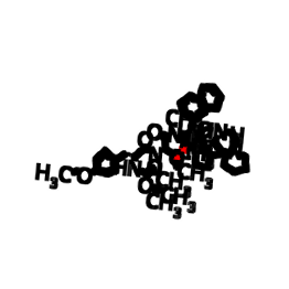 CCOc1ccc(C[C@@H](NC(=O)OC(C)(C)C)C(=O)N[C@H](C(=O)N(C)[C@H](Cc2ccccc2)C(=O)N2CCC(C3(C)CCCCN3)[C@]2(C(=O)OCc2ccccc2)C2(C)CCCCN2)[C@@H](C)CC)cc1